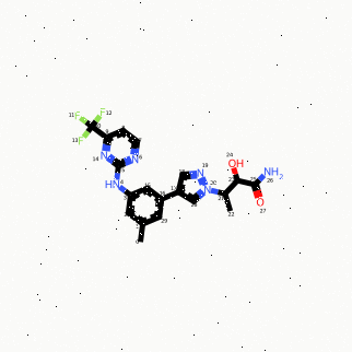 Cc1cc(Nc2nccc(C(F)(F)F)n2)cc(-c2cnn(C(C)C(O)C(N)=O)c2)c1